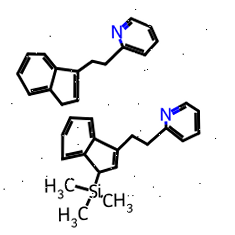 C1=C(CCc2ccccn2)c2ccccc2C1.C[Si](C)(C)C1C=C(CCc2ccccn2)c2ccccc21